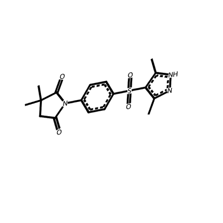 Cc1n[nH]c(C)c1S(=O)(=O)c1ccc(N2C(=O)CC(C)(C)C2=O)cc1